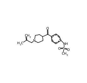 C=C(C)CN1CCC(C(=O)c2ccc(NS(C)(=O)=O)cc2)CC1